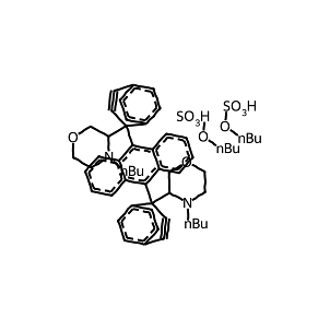 CCCCN1CCOCC1C1(c2c3ccccc3c(C3(C4COCCN4CCCC)C#Cc4ccc3cc4)c3ccccc23)C#Cc2ccc1cc2.CCCCOS(=O)(=O)O.CCCCOS(=O)(=O)O